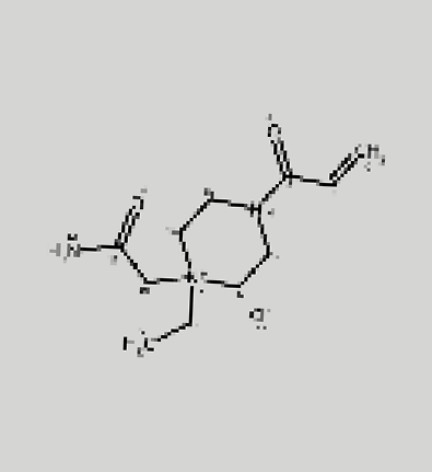 C=CC(=O)N1CC[N+](CC)(CC(N)=O)CC1.[Cl-]